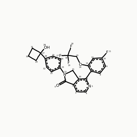 O=C1c2ccnc(-c3ccc(F)cc3OCC(F)(F)F)c2CN1c1ccc(C2(O)CCC2)cc1